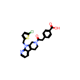 O=C(O)c1ccc(CC(=O)N2CCc3c(n(Cc4ccc(Cl)s4)c4ncccc34)C2)cc1